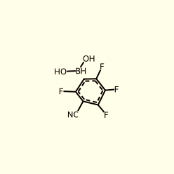 N#Cc1c(F)cc(F)c(F)c1F.OBO